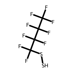 FC(F)(F)C(F)(F)C(F)(F)C(F)(F)SS